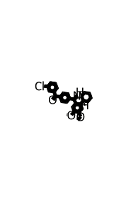 COc1cc2c(cc1OC)[C@H]1CCCC[C@H]1N=C2c1ccc(C(=O)c2cccc(Cl)c2)cc1